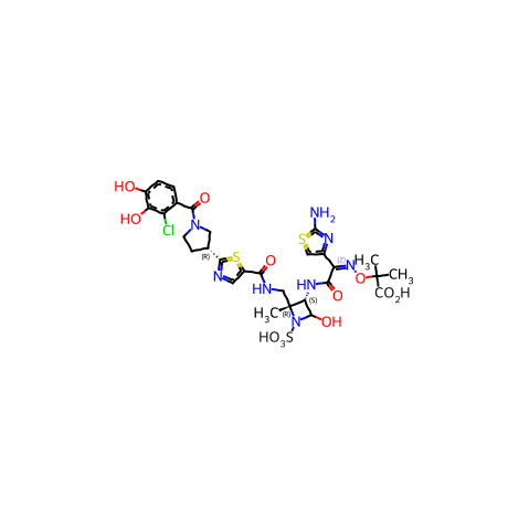 CC(C)(O/N=C(\C(=O)N[C@@H]1C(O)N(S(=O)(=O)O)[C@]1(C)CNC(=O)c1cnc([C@@H]2CCN(C(=O)c3ccc(O)c(O)c3Cl)C2)s1)c1csc(N)n1)C(=O)O